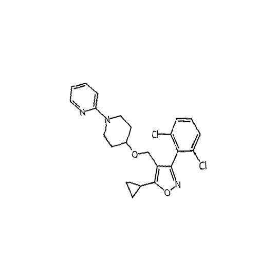 Clc1cccc(Cl)c1-c1noc(C2CC2)c1COC1CCN(c2ccccn2)CC1